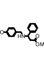 COC(=O)CC(NCc1ccc(O)cc1)c1ccccc1